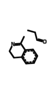 CC1=NCCc2ccccc21.CCC=O